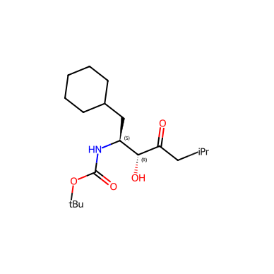 CC(C)CC(=O)[C@H](O)[C@H](CC1CCCCC1)NC(=O)OC(C)(C)C